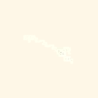 CCCCCCCCCCCCCCCCCCN1C=CN(CCCC)C1CC